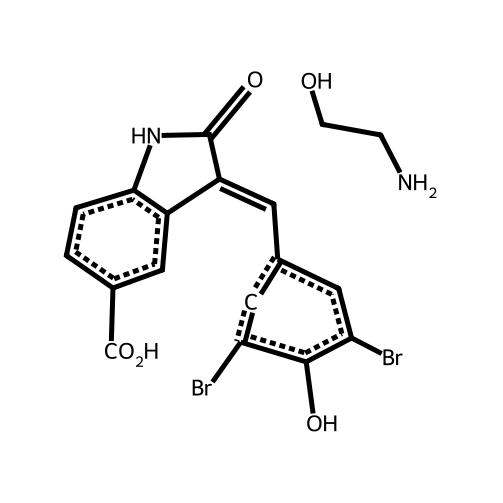 NCCO.O=C1Nc2ccc(C(=O)O)cc2C1=Cc1cc(Br)c(O)c(Br)c1